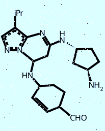 CC(C)c1cnn2c1N=C(N[C@@H]1CC[C@@H](N)C1)CC2NC1C=CC(C=O)CC1